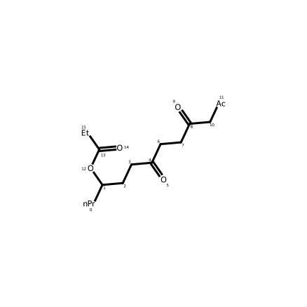 CCCC(CCC(=O)CCC(=O)CC(C)=O)OC(=O)CC